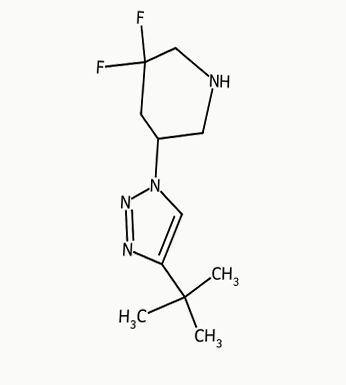 CC(C)(C)c1cn(C2CNCC(F)(F)C2)nn1